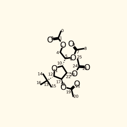 CC(=O)OCC(OC(C)=O)[C@H]1O[C@@H](C(C)(C)C)[C@H](OC(C)=O)[C@H]1OC(C)=O